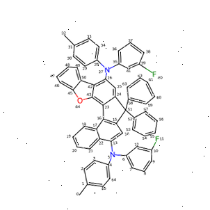 Cc1ccc(N(c2cccc(F)c2)c2cc3c(c4ccccc24)-c2c(cc(N(c4ccc(C)cc4)c4cccc(F)c4)c4c2oc2ccccc24)C3(c2ccccc2)c2ccccc2)cc1